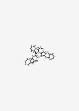 c1cnc2cc3sc4c(ccc5c6ccccc6n(-c6ccc7oc8ccccc8c7c6)c54)c3cc2c1